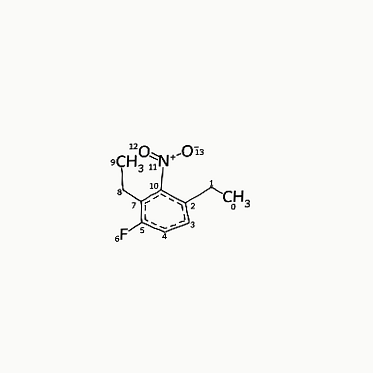 CCc1ccc(F)c(CC)c1[N+](=O)[O-]